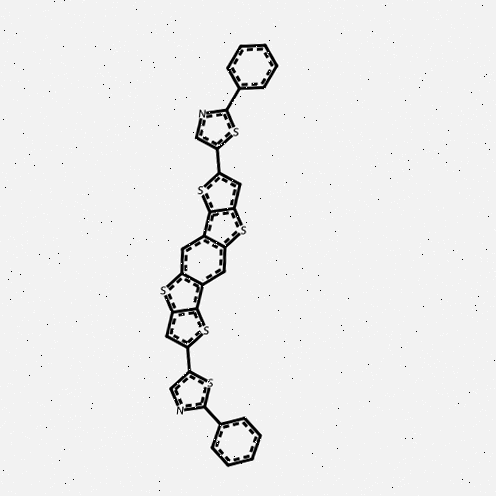 c1ccc(-c2ncc(-c3cc4sc5cc6c(cc5c4s3)sc3cc(-c4cnc(-c5ccccc5)s4)sc36)s2)cc1